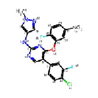 Cn1cc(Nc2ncc(-c3ccc(Cl)c(F)c3)c(Oc3cc([N+](=O)[O-])ccc3F)n2)cn1